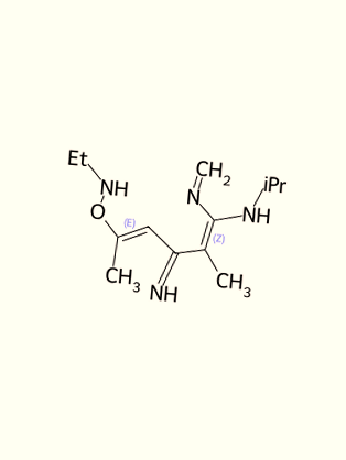 C=N/C(NC(C)C)=C(/C)C(=N)/C=C(\C)ONCC